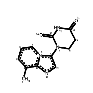 Cc1cccn2c(N3CCC(=O)NC3=O)cnc12